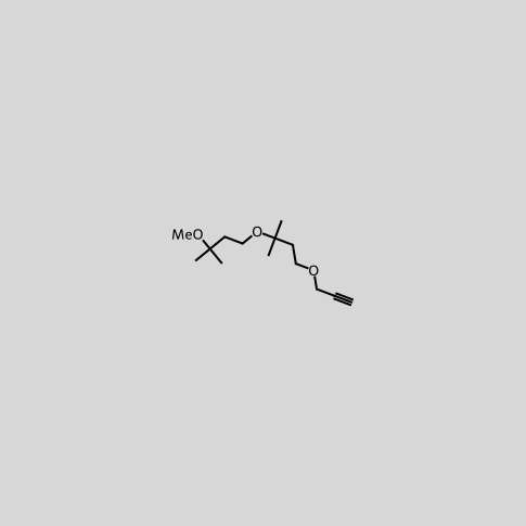 C#CCOCCC(C)(C)OCCC(C)(C)OC